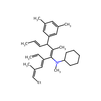 C=CC(=C\C(C)=C/CC)/C(=C(/C)C(/C=C/C)c1cc(C)cc(C)c1)N(C)C1CCCCC1